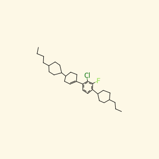 CCCCC1CCC(C2CC=C(c3ccc(C4CCC(CCC)CC4)c(F)c3Cl)CC2)CC1